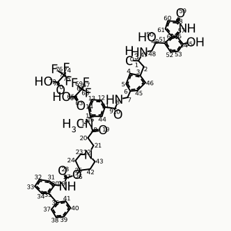 CC(Cc1ccc(CNC(=O)c2cccc(N(C)C(=O)CCN3CCC(OC(=O)Nc4ccccc4-c4ccccc4)CC3)c2)cc1)NC[C@H](O)c1ccc(O)c2[nH]c(=O)ccc12.O=C(O)C(F)(F)F.O=C(O)C(F)(F)F